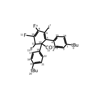 CC(C)(C)c1ccc(C2=C(I)C(F)=C(F)C(F)C2(C(=O)O)c2ccc(C(C)(C)C)cc2)cc1